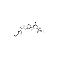 C=C(c1cnn(C2CC2)c1)N1Cc2cc(C3(F)C=C(F)C=C(S(N)(=O)=O)C3)ccc2N1